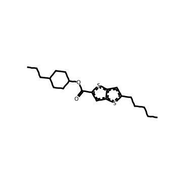 CCCCCc1cc2sc(C(=O)OC3CCC(CCC)CC3)cc2s1